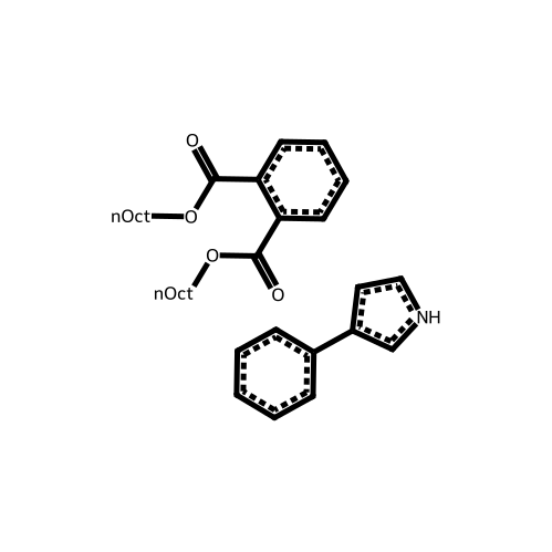 CCCCCCCCOC(=O)c1ccccc1C(=O)OCCCCCCCC.c1ccc(-c2cc[nH]c2)cc1